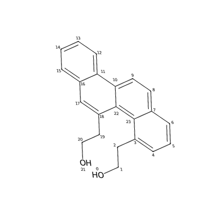 OCCc1cccc2ccc3c4ccccc4cc(CCO)c3c12